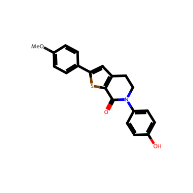 COc1ccc(-c2cc3c(s2)C(=O)N(c2ccc(O)cc2)CC3)cc1